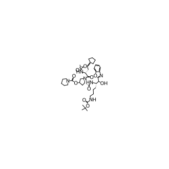 CC(C)(C)OC(=O)NCCCC[C@H](NC(=O)[C@@H]1C[C@@H](OC(=O)N2CCCCC2)CN1C(=O)[C@@H](CC=C1CCCC1)NS(C)(=O)=O)C(O)c1nc2ccccc2o1